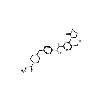 C=CC(=O)N1CCN(Cc2ccc(C(C)Nc3ncc(F)c(N4C(=O)OC[C@@H]4C(C)C)n3)cc2)CC1